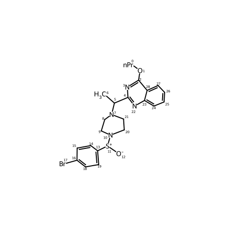 CCCOc1nc(C(C)N2CCN([S+]([O-])c3ccc(Br)cc3)CC2)nc2ccccc12